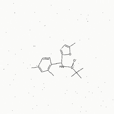 Cc1ccc(C(N[S+]([O-])C(C)(C)C)c2ccc(C)o2)c(C)c1